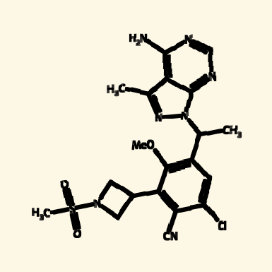 COc1c(C(C)n2nc(C)c3c(N)ncnc32)cc(Cl)c(C#N)c1C1CN(S(C)(=O)=O)C1